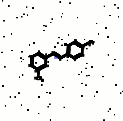 CC(C)c1ccc(/C=C/c2cccc(C(F)(F)F)c2)cc1